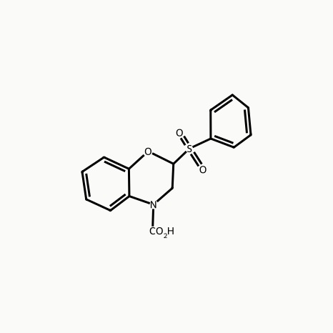 O=C(O)N1CC(S(=O)(=O)c2ccccc2)Oc2ccccc21